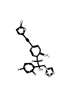 C=C1CC=C(C#Cc2ccc(Cl)s2)C=CC1C(F)(F)C(O)(Cn1cnnn1)c1ccc(F)cc1F